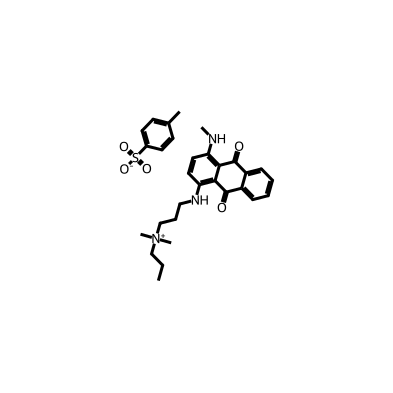 CCC[N+](C)(C)CCCNc1ccc(NC)c2c1C(=O)c1ccccc1C2=O.Cc1ccc(S(=O)(=O)[O-])cc1